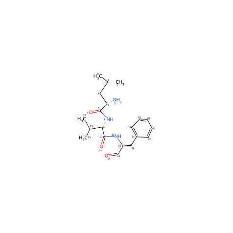 CC(C)C[C@H](N)C(=O)N[C@H](C(=O)N[C@H](C=O)Cc1ccccc1)C(C)C